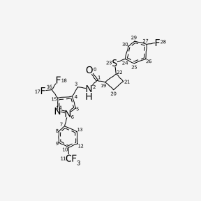 O=C(NCc1cn(-c2ccc(C(F)(F)F)cc2)nc1C(F)F)C1CCC1Sc1ccc(F)cc1